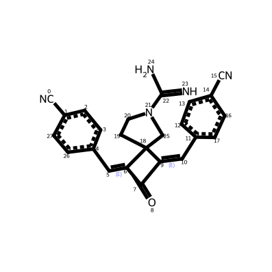 N#Cc1ccc(/C=C2/C(=O)/C(=C/c3ccc(C#N)cc3)C23CCN(C(=N)N)C3)cc1